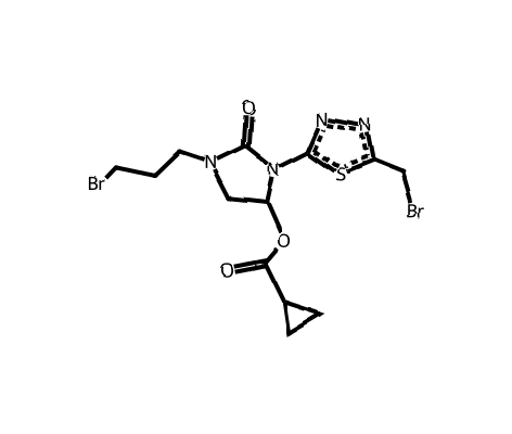 O=C(OC1CN(CCCBr)C(=O)N1c1nnc(CBr)s1)C1CC1